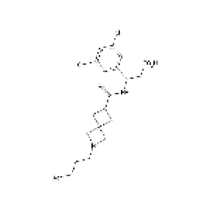 CC(=O)CCCN1CC2(CC(C(=O)NC(CC(=O)O)c3cc(Cl)cc(Cl)c3)C2)C1